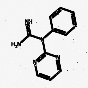 N=C(N)N(c1ccccc1)c1ncccn1